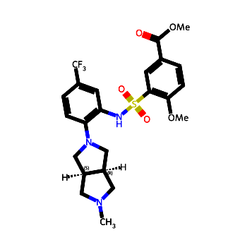 COC(=O)c1ccc(OC)c(S(=O)(=O)Nc2cc(C(F)(F)F)ccc2N2C[C@H]3CN(C)C[C@H]3C2)c1